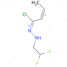 C/C=C\C(Cl)=N/NCC(F)F